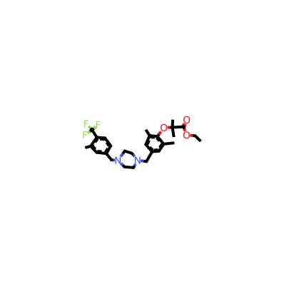 CCOC(=O)C(C)(C)Oc1c(C)cc(CN2CCN(Cc3ccc(C(F)(F)F)c(C)c3)CC2)cc1C